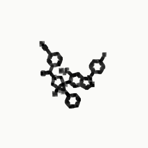 Cc1cc2c(cnn2-c2ccc(F)cc2)cc1[C@]12CN(C(=O)c3cccc(C#N)c3)C[C@H]1[C@@H]2c1ccccc1